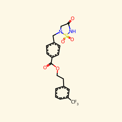 O=C1CN(Cc2ccc(C(=O)OCCc3cccc(C(F)(F)F)c3)cc2)S(=O)(=O)N1